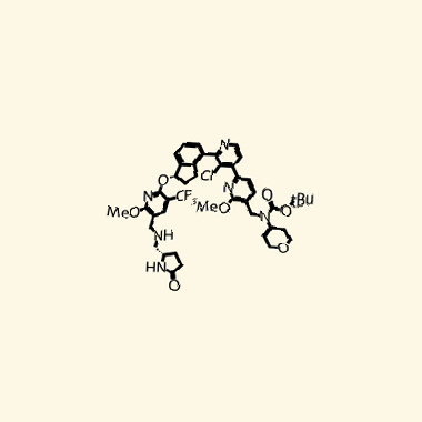 COc1nc(-c2ccnc(-c3cccc4c3CC[C@@H]4Oc3nc(OC)c(CNC[C@@H]4CCC(=O)N4)cc3C(F)(F)F)c2Cl)ccc1CN(C(=O)OC(C)(C)C)C1CCOCC1